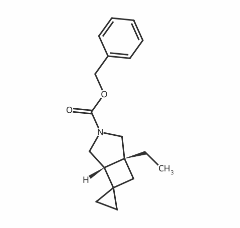 CC[C@]12CN(C(=O)OCc3ccccc3)C[C@H]1C1(CC1)C2